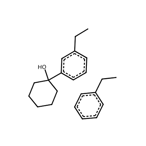 CCc1cccc(C2(O)CCCCC2)c1.CCc1ccccc1